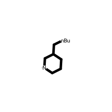 CCCCCC1CCC[N]C1